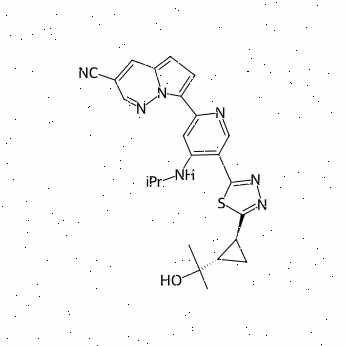 CC(C)Nc1cc(-c2ccc3cc(C#N)cnn23)ncc1-c1nnc([C@H]2C[C@@H]2C(C)(C)O)s1